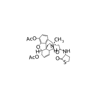 CC(=O)Oc1ccc2c3c1O[C@H]1[C@@H](OC(C)=O)C=CC4[C@@H](C2)[N@@+](C)(CC(=O)NC2CCSC2=O)CC[C@@]341